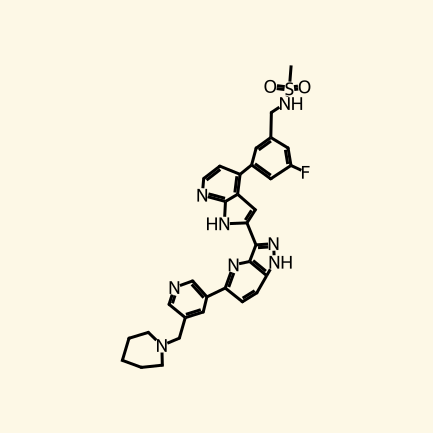 CS(=O)(=O)NCc1cc(F)cc(-c2ccnc3[nH]c(-c4n[nH]c5ccc(-c6cncc(CN7CCCCC7)c6)nc45)cc23)c1